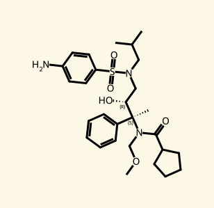 COCN(C(=O)C1CCCC1)[C@@](C)(c1ccccc1)[C@H](O)CN(CC(C)C)S(=O)(=O)c1ccc(N)cc1